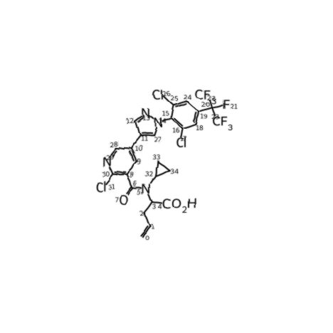 C=CCC(C(=O)O)N(C(=O)c1cc(-c2cnn(-c3c(Cl)cc(C(F)(C(F)(F)F)C(F)(F)F)cc3Cl)c2)cnc1Cl)C1CC1